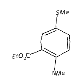 CCOC(=O)c1cc(SC)ccc1NC